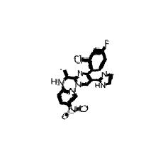 [CH2]C(Nc1ccc([N+](=O)[O-])cn1)c1ncc(-c2ncc[nH]2)c(-c2ccc(F)cc2Cl)n1